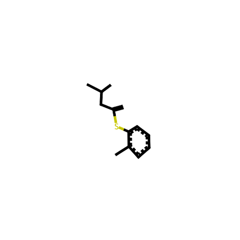 C=C(CC(C)C)Sc1ccccc1C